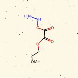 COCCOC(=O)C(=O)ONN